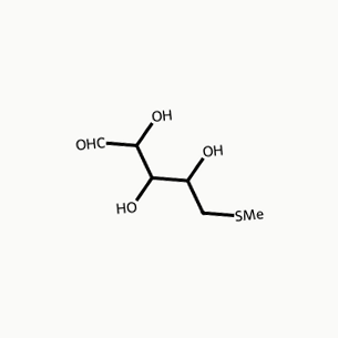 CSCC(O)C(O)C(O)C=O